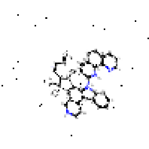 C=C/C=C\C1=C(C)c2c(c3cnccc3c3c4ccccc4n(-c4ccc5ccc6cccnc6c5n4)c23)C1(C)C